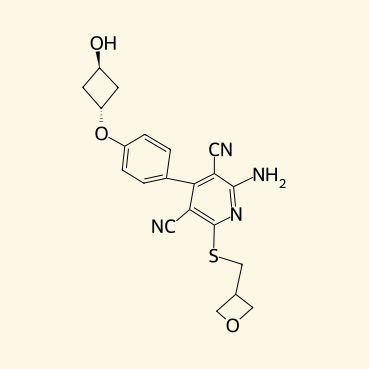 N#Cc1c(N)nc(SCC2COC2)c(C#N)c1-c1ccc(O[C@H]2C[C@H](O)C2)cc1